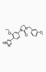 CCOc1cc(N2CCN(Cc3cccc(OC)c3)C2=O)ccc1-c1cn[nH]c1